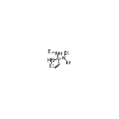 C=C[Si](NCC)(NCC)N(CC)CC